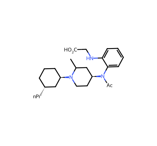 CCC[C@@H]1CCC[C@@H](N2CC[C@H](N(C(C)=O)c3ccccc3NCC(=O)O)CC2C)C1